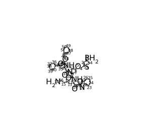 BC1C=C(CO[C@@H]2C[C@@H](C(=O)N[C@@H](CCCCN)C(=O)c3nc4ccccc4o3)N(C(=O)[C@@H](CCc3ccccc3)NC(=O)OCc3ccccc3)C2)SC1